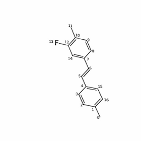 Cc1ccc(C=Cc2ccc(C)c(F)c2)cc1